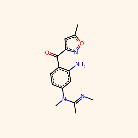 CN=C(C)N(C)c1ccc(C(=O)c2cc(C)on2)c(N)c1